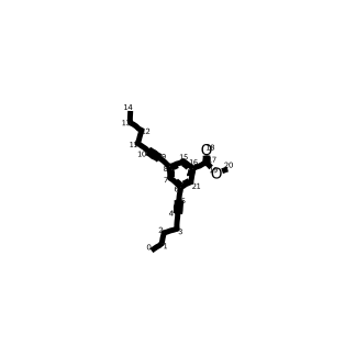 CCCCC#Cc1cc(C#CCCCC)cc(C(=O)OC)c1